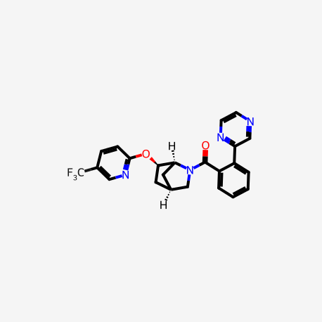 O=C(c1ccccc1-c1cnccn1)N1C[C@H]2C[C@@H](Oc3ccc(C(F)(F)F)cn3)[C@@H]1C2